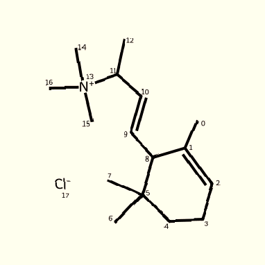 CC1=CCCC(C)(C)C1C=CC(C)[N+](C)(C)C.[Cl-]